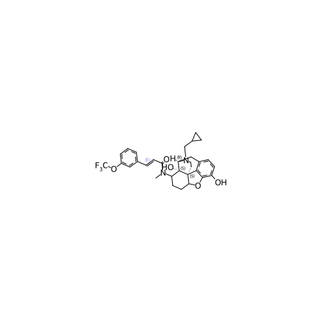 CN(C(=O)/C=C/c1cccc(OC(F)(F)F)c1)C1CCC2Oc3c(O)ccc4c3[C@@]23CCN(CC2CC2)[C@H](C4)[C@]13O